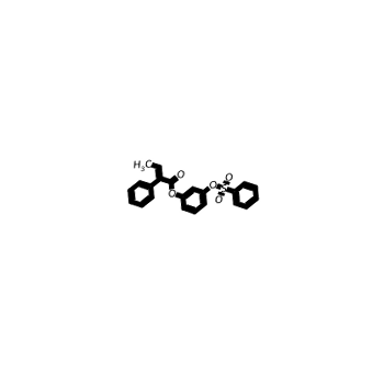 CC=C(C(=O)Oc1cccc(OS(=O)(=O)c2ccccc2)c1)c1ccccc1